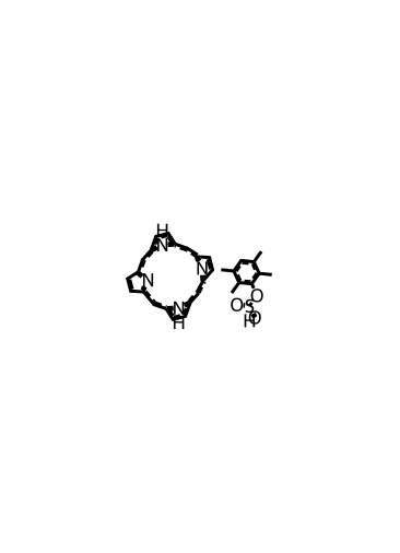 C1=Cc2cc3ccc(cc4nc(cc5ccc(cc1n2)[nH]5)C=C4)[nH]3.Cc1cc(C)c(C)c(O[SH](=O)=O)c1C